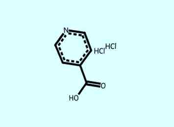 Cl.Cl.O=C(O)c1ccncc1